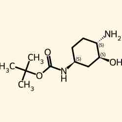 CC(C)(C)OC(=O)N[C@H]1CC[C@H](N)[C@@H](O)C1